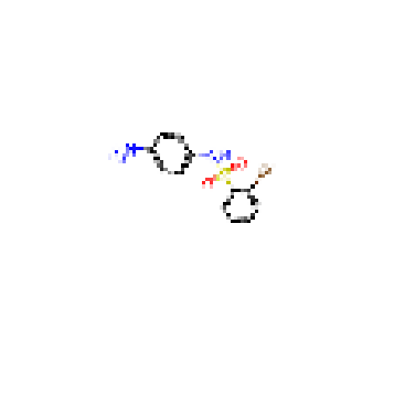 Nc1ccc(NS(=O)(=O)c2ccccc2Br)cc1